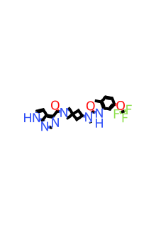 Cc1ccc(OC(F)(F)F)cc1NC(=O)N(C)C1CC2(C1)CN(C(=O)c1ncnc3[nH]ccc13)C2